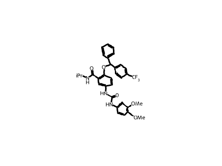 COc1ccc(NC(=O)Nc2ccc(OC(c3ccccc3)c3ccc(C(F)(F)F)cc3)c(C(=O)NC(C)C)c2)cc1OC